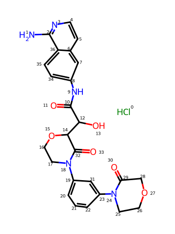 Cl.Nc1nccc2cc(NC(=O)C(O)C3OCCN(c4cccc(N5CCOCC5=O)c4)C3=O)ccc12